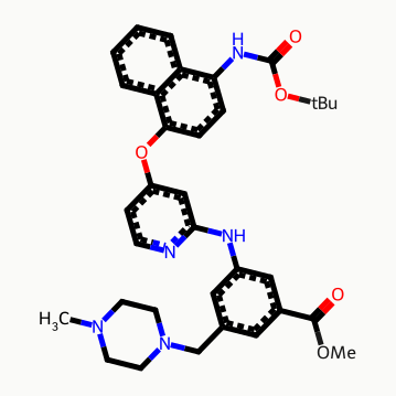 COC(=O)c1cc(CN2CCN(C)CC2)cc(Nc2cc(Oc3ccc(NC(=O)OC(C)(C)C)c4ccccc34)ccn2)c1